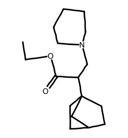 CCOC(=O)C(CN1CCCCC1)C12CCC(CC1)C2